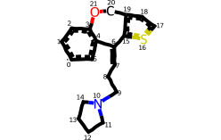 [c]1ccc2c(c1)/C(=C\CCN1CCCC1)c1sccc1CO2